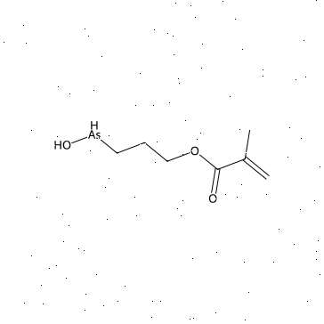 C=C(C)C(=O)OCCC[AsH]O